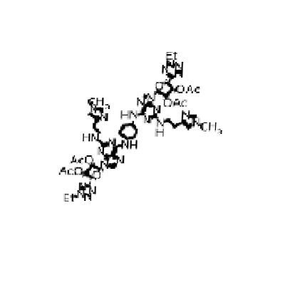 CCn1nnc([C@H]2O[C@@H](n3cnc4c(N[C@H]5CC[C@H](Nc6nc(NCCc7cn(C)cn7)nc7c6ncn7[C@@H]6O[C@H](c7nnn(CC)n7)[C@@H](OC(C)=O)[C@H]6OC(C)=O)CC5)nc(NCCc5cn(C)cn5)nc43)[C@H](OC(C)=O)[C@@H]2OC(C)=O)n1